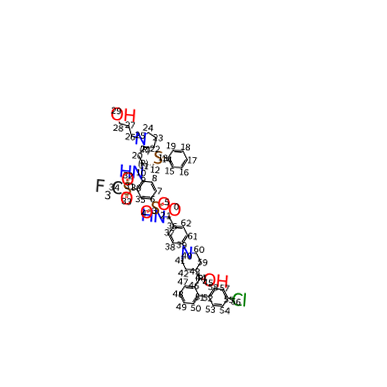 O=C(NS(=O)(=O)c1ccc(N[C@@H](CSc2ccccc2)C[C@H]2CCCN2CCCO)c(S(=O)(=O)C(F)(F)F)c1)c1ccc(N2CCC([C@@H](O)c3ccccc3-c3ccc(Cl)cc3)CC2)cc1